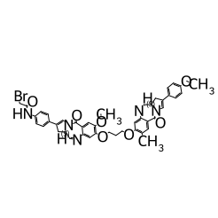 COc1ccc(C2=CN3C(=O)c4cc(C)c(OCCCOc5cc6c(cc5OC)C(=O)N5C=C(c7ccc(NC(=O)CBr)cc7)C[C@H]5C=N6)cc4N=C[C@@H]3C2)cc1